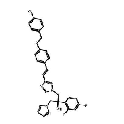 OC(Cn1cncn1)(Cn1cnc(C=Cc2ccc(OCc3ccc(Cl)cc3)cc2)n1)c1ccc(F)cc1F